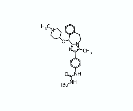 Cc1c(-c2ccc(NC(=O)NC(C)(C)C)cc2)nc2n1CCc1ccccc1C2OC1CCN(C)CC1